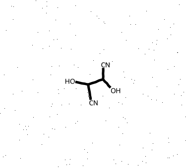 N#CC(O)C(O)C#N